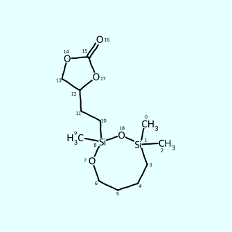 C[Si]1(C)CCCCO[Si](C)(CCC2COC(=O)O2)O1